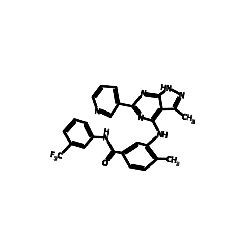 Cc1ccc(C(=O)Nc2cccc(C(F)(F)F)c2)cc1Nc1nc(-c2cccnc2)nc2[nH]nc(C)c12